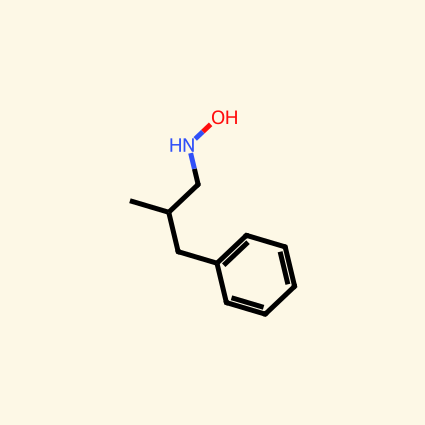 CC(CNO)Cc1ccccc1